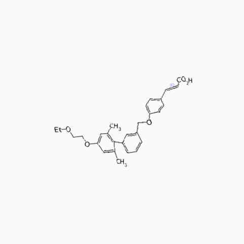 CCOCCOc1cc(C)c(-c2cccc(COc3ccc(/C=C/C(=O)O)cc3)c2)c(C)c1